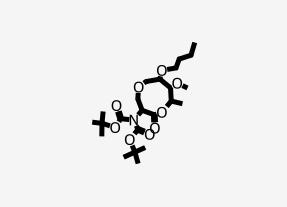 CCCCOC1COCC(N(C(=O)OC(C)(C)C)C(=O)OC(C)(C)C)C(=O)OC(C)C1OC